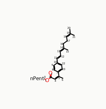 CCCCCOC(=O)/C=C(/C)c1ccc(/C=C/C=C(\C)CCC=C(C)C)cc1